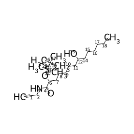 C#CCNC(=O)C(CCCCCC(O)CCCCCC)O[Si](C)(C)C(C)(C)C